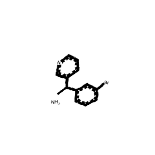 CC(c1cccnc1)c1cccc(Br)c1.N